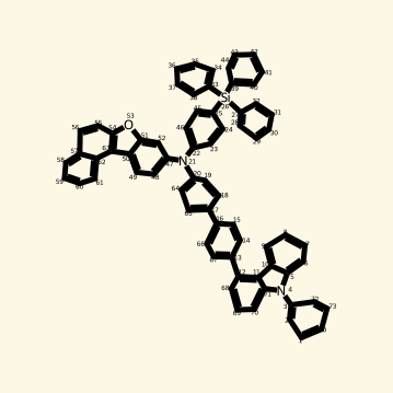 c1ccc(-n2c3ccccc3c3c(-c4ccc(-c5ccc(N(c6ccc([Si](c7ccccc7)(c7ccccc7)c7ccccc7)cc6)c6ccc7c(c6)oc6ccc8ccccc8c67)cc5)cc4)cccc32)cc1